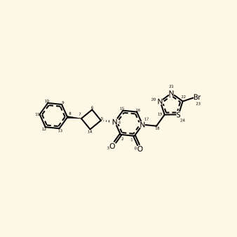 O=c1c(=O)n([C@H]2C[C@H](c3ccccc3)C2)ccn1Cc1nnc(Br)s1